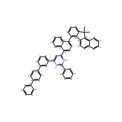 CC1(C)c2cccc(-c3ccc(-c4cc(-c5cccc(-c6ccc(-c7ccccc7)cc6)c5)nc(-c5ccccc5)n4)c4ccccc34)c2-c2ccc3ccccc3c21